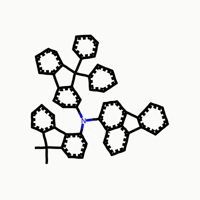 CC1(C)c2ccccc2-c2c(N(c3ccc4c(c3)C(c3ccccc3)(c3ccccc3)c3ccccc3-4)c3ccc4c5c(cccc35)-c3ccccc3-4)cccc21